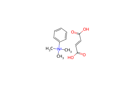 C[N+](C)(C)c1ccccc1.O=C(O)/C=C/C(=O)O